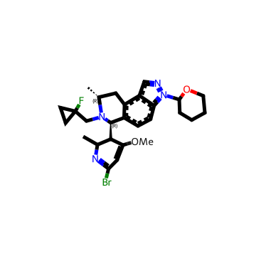 COC1=CC(Br)=NC(C)C1[C@@H]1c2ccc3c(cnn3C3CCCCO3)c2C[C@@H](C)N1CC1(F)CC1